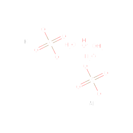 O.O.O.O.O=S(=O)([O-])[O-].O=S(=O)([O-])[O-].[Al+3].[K+]